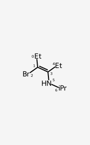 CC/C(Br)=C(\CC)NC(C)C